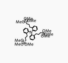 CO[Si](CCCc1ccccc1N(c1ccccc1CCC[Si](OC)(OC)OC)c1ccccc1CCC[Si](OC)(OC)OC)(OC)OC